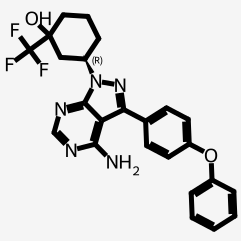 Nc1ncnc2c1c(-c1ccc(Oc3ccccc3)cc1)nn2[C@@H]1CCCC(O)(C(F)(F)F)C1